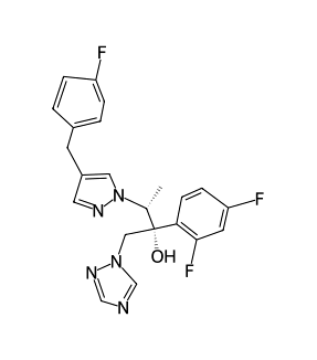 C[C@@H](n1cc(Cc2ccc(F)cc2)cn1)[C@](O)(Cn1cncn1)c1ccc(F)cc1F